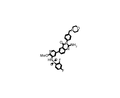 COc1ncc(-c2ccc3nc(N)n(-c4ccc(CN5CCOCC5)cc4)c(=O)c3c2)cc1NS(=O)(=O)c1ccc(F)cc1F